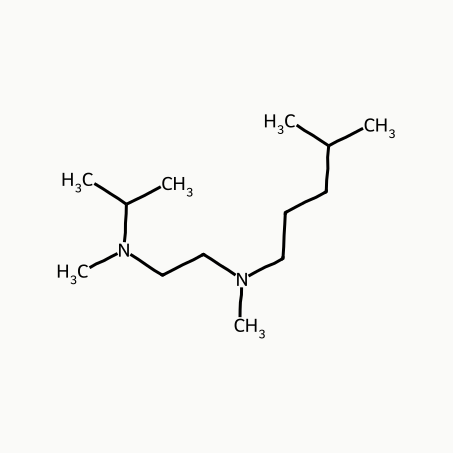 CC(C)CCCN(C)CCN(C)C(C)C